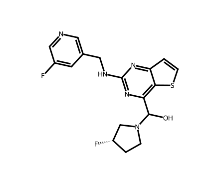 OC(c1nc(NCc2cncc(F)c2)nc2ccsc12)N1CC[C@H](F)C1